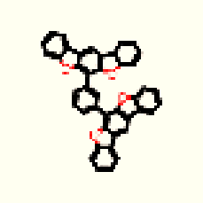 C1=CC2Oc3c(cc4c(oc5ccccc54)c3-c3cccc(-c4c5oc6ccccc6c5cc5c4oc4ccccc45)c3)C2C=C1